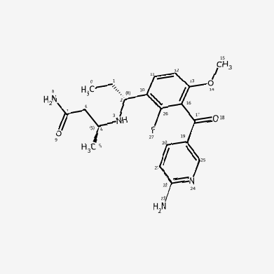 CC[C@@H](N[C@@H](C)CC(N)=O)c1ccc(OC)c(C(=O)c2ccc(N)nc2)c1F